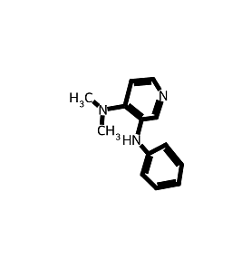 CN(C)c1ccncc1Nc1ccccc1